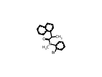 CC(C(=O)N(C)c1ccccc1Br)c1cccc2ccccc12